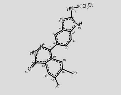 CCOC(=O)Nc1nc2cc(-c3n[nH]c(=O)c4cc(F)c(F)cc34)ccc2[nH]1